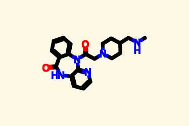 CNCC1CCN(CC(=O)N2c3ccccc3C(=O)Nc3cccnc32)CC1